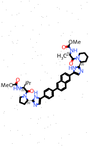 COC(=O)N[C@@H](C)C(=O)N1CCCC[C@H]1c1ncc(-c2ccc3cc(-c4ccc(-c5cnc([C@@H]6CCCN6C(=O)[C@@H](NC(=O)OC)C(C)C)[nH]5)cc4)ccc3c2)[nH]1